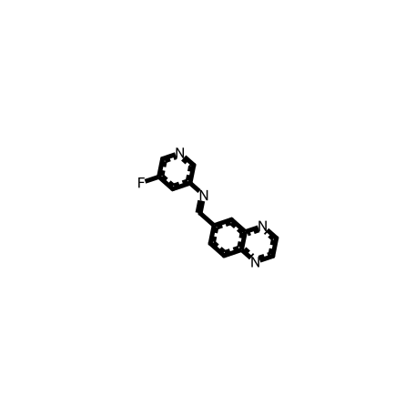 Fc1cncc(N=Cc2ccc3nccnc3c2)c1